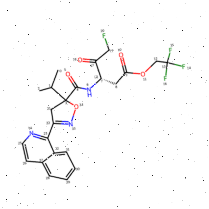 CC(C)C1(C(=O)N[C@@H](CC(=O)OCC(F)(F)F)C(=O)CF)CC(c2nccc3ccccc23)=NO1